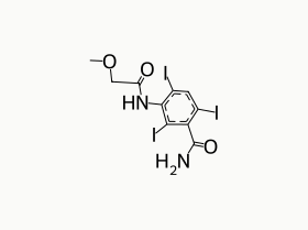 COCC(=O)Nc1c(I)cc(I)c(C(N)=O)c1I